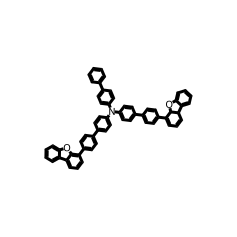 C1=CC2c3ccccc3OC2C(c2ccc(-c3ccc(N(c4ccc(-c5ccccc5)cc4)c4ccc(-c5ccc(-c6cccc7c6oc6ccccc67)cc5)cc4)cc3)cc2)=C1